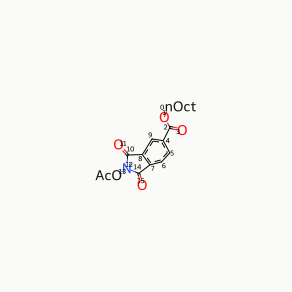 CCCCCCCCOC(=O)c1ccc2c(c1)C(=O)N(OC(C)=O)C2=O